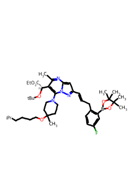 CCOC(=O)[C@@H](OC(C)(C)C)c1c(C)nc2cc(C=CCc3ccc(F)cc3B3OC(C)(C)C(C)(C)O3)nn2c1N1CCC(C)(OCCCCC(C)C)CC1